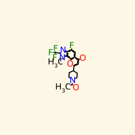 CC(=O)N1CCC(c2cc(=O)c3cc(F)c4nc(C(F)(F)F)n(C)c4c3o2)CC1